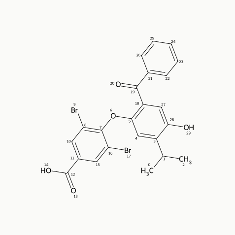 CC(C)c1cc(Oc2c(Br)cc(C(=O)O)cc2Br)c(C(=O)c2ccccc2)cc1O